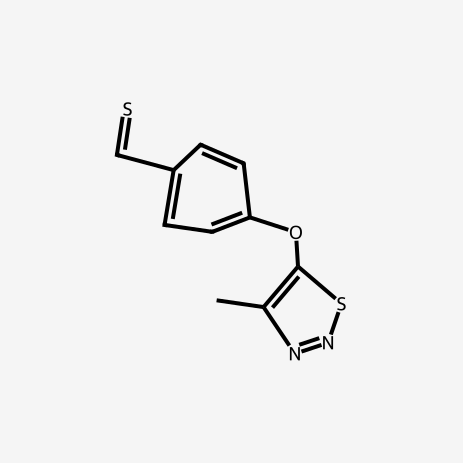 Cc1nnsc1Oc1ccc(C=S)cc1